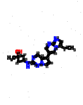 CCc1cnc2ncc(-c3ccn4nc(NC5CC(C)(O)C5)ncc34)cn12